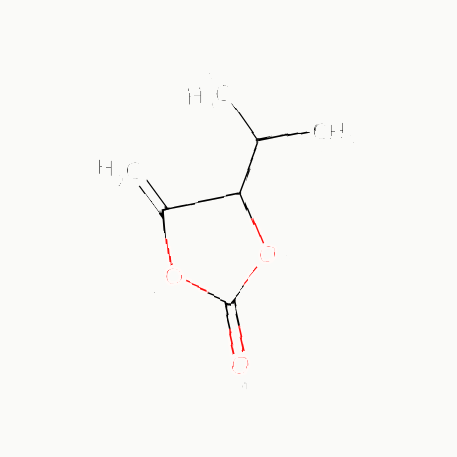 C=C1OC(=O)OC1C(C)C